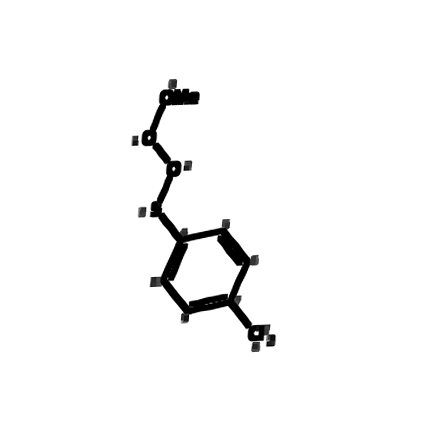 COOOSc1ccc(C(F)(F)F)cc1